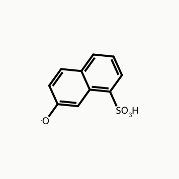 [O]c1ccc2cccc(S(=O)(=O)O)c2c1